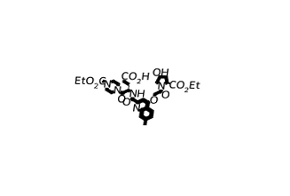 CCOC(=O)[C@@H]1C[C@@H](O)CN1C(=O)COc1cc(C(=O)N[C@@H](CCC(=O)O)C(=O)N2CCN(C(=O)OCC)CC2)nc2cc(C)ccc12